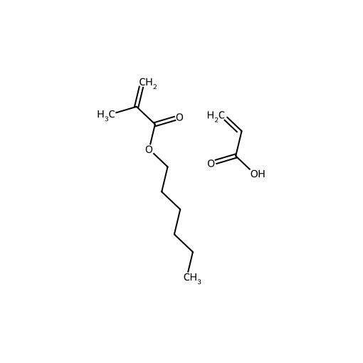 C=C(C)C(=O)OCCCCCC.C=CC(=O)O